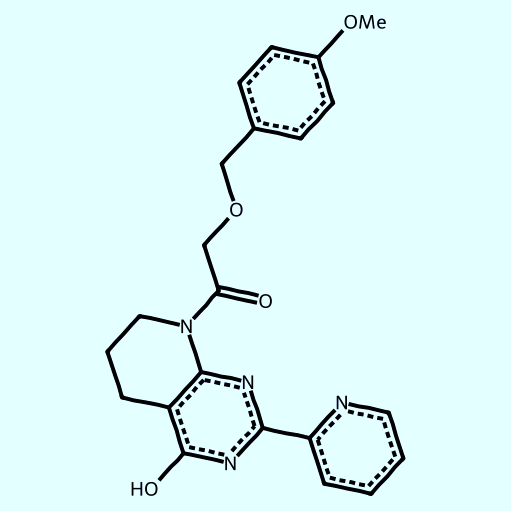 COc1ccc(COCC(=O)N2CCCc3c(O)nc(-c4ccccn4)nc32)cc1